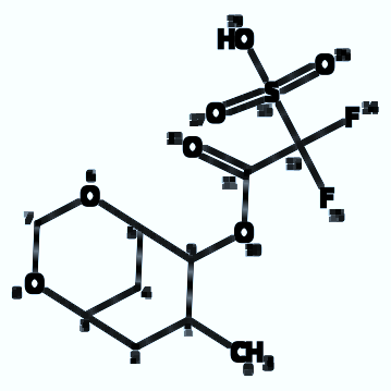 CC1CC2CC(OCO2)C1OC(=O)C(F)(F)S(=O)(=O)O